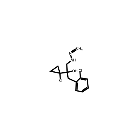 C=NNCC(O)(Cc1ccccc1Cl)C1(Cl)CC1